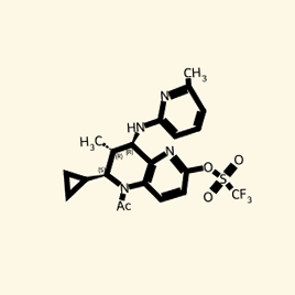 CC(=O)N1c2ccc(OS(=O)(=O)C(F)(F)F)nc2[C@H](Nc2cccc(C)n2)[C@@H](C)[C@@H]1C1CC1